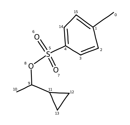 Cc1ccc(S(=O)(=O)OC(C)C2CC2)cc1